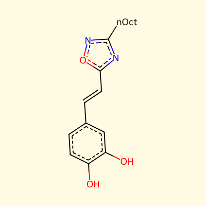 CCCCCCCCc1noc(/C=C/c2ccc(O)c(O)c2)n1